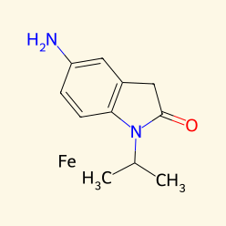 CC(C)N1C(=O)Cc2cc(N)ccc21.[Fe]